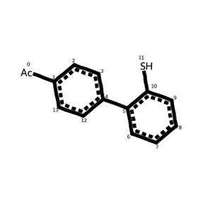 CC(=O)c1ccc(-c2ccccc2S)cc1